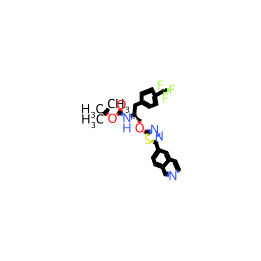 CC(C)(C)OC(=O)N[C@H](COc1nnc(-c2ccc3cnccc3c2)s1)Cc1ccc(C(F)(F)F)cc1